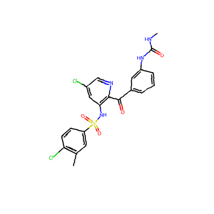 CNC(=O)Nc1cccc(C(=O)c2ncc(Cl)cc2NS(=O)(=O)c2ccc(Cl)c(C)c2)c1